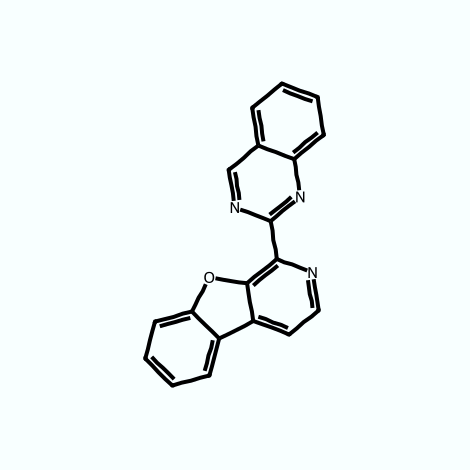 c1ccc2nc(-c3nccc4c3oc3ccccc34)ncc2c1